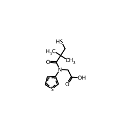 CC(C)(CS)C(=O)N(CC(=O)O)c1ccsc1